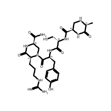 C[C@@H]1NC[C@H](C(=O)N[C@@H](CS)C(=O)N[C@@H](Cc2ccc(O)cc2)C(=O)N2C[C@H](C(N)=O)NC(=O)[C@@H]2CCCNC(=N)N)NC1=O